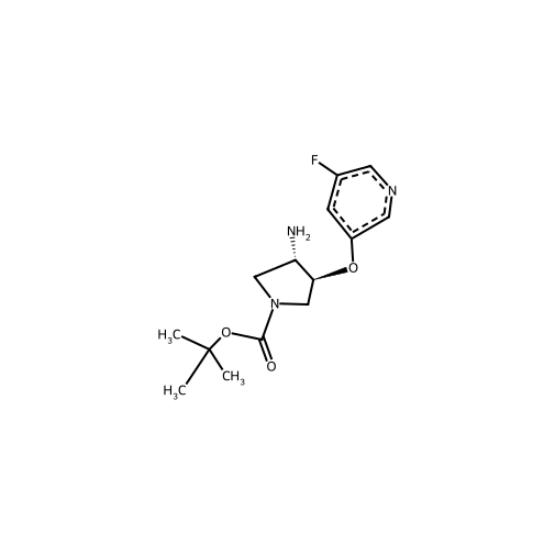 CC(C)(C)OC(=O)N1C[C@H](Oc2cncc(F)c2)[C@@H](N)C1